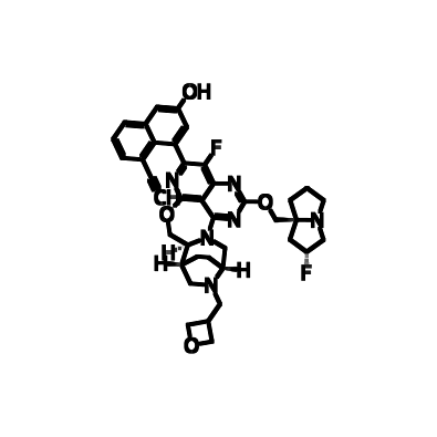 C#Cc1cccc2cc(O)cc(-c3nc4c5c(nc(OC[C@@]67CCCN6C[C@H](F)C7)nc5c3F)N3C[C@H]5CC[C@H](CN5CC5COC5)[C@H]3CO4)c12